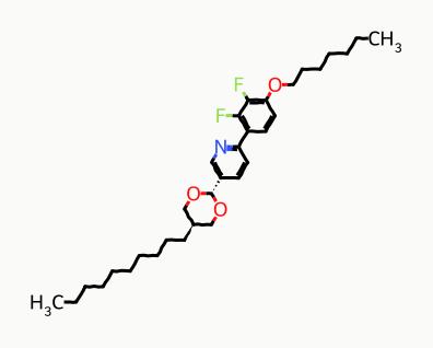 CCCCCCCCCC[C@H]1CO[C@H](c2ccc(-c3ccc(OCCCCCCC)c(F)c3F)nc2)OC1